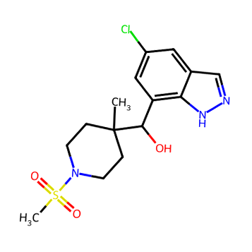 CC1(C(O)c2cc(Cl)cc3cn[nH]c23)CCN(S(C)(=O)=O)CC1